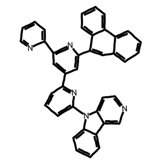 c1ccc(-c2cc(-c3cccc(-n4c5ccccc5c5cnccc54)n3)cc(-c3cc4ccccc4c4ccccc34)n2)nc1